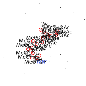 COCC1O[C@@H](O[C@H]2C(OC)C(OC)[C@@H](O[C@H]3C(OC)C(OC)[C@H](O[C@H]4C5CO[C@H](O5)C(N=[N+]=[N-])[C@@H]4OC)O[C@H]3COC)O[C@H]2COC)C(OC)[C@@H](OC)[C@@H]1O[C@@H]1OC(COC(=O)c2ccccc2)[C@@H](O[C@@H]2O[C@@H](COC(C)=O)[C@@H](O[C@H]3O[C@@H](COC(C)=O)[C@@H](OC(C)=O)C(OC(C)=O)C3OC(C)=O)C(OC(C)=O)C2OC(C)=O)[C@H](OC)C1OC